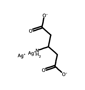 NC(CC(=O)[O-])CC(=O)[O-].[Ag+].[Ag+]